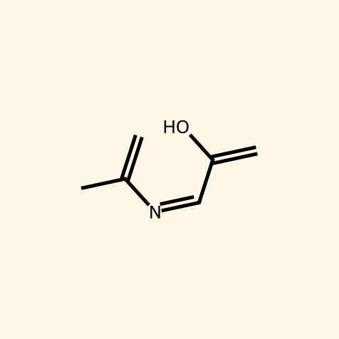 C=C(O)/C=N\C(=C)C